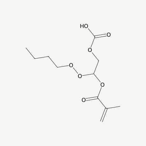 C=C(C)C(=O)OC(COC(=O)O)OOCCCC